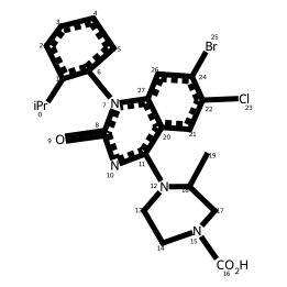 CC(C)c1ccccc1-n1c(=O)nc(N2CCN(C(=O)O)CC2C)c2cc(Cl)c(Br)cc21